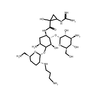 N=C(N)NC1CC1(O)C(=O)N[C@@H]1C[C@H](N)C(O[C@H]2O[C@H](CN)CC[C@H]2NCCCN)[C@H](O)[C@H]1O[C@H]1O[C@H](CO)[C@@H](O)[C@H](N)[C@H]1O